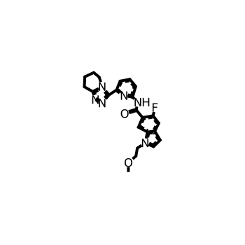 COCCn1ccc2cc(F)c(C(=O)Nc3cccc(-c4nnc5n4CCCC5)n3)cc21